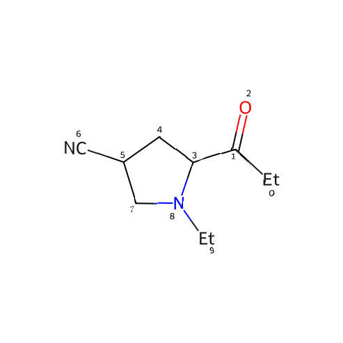 CCC(=O)C1CC(C#N)CN1CC